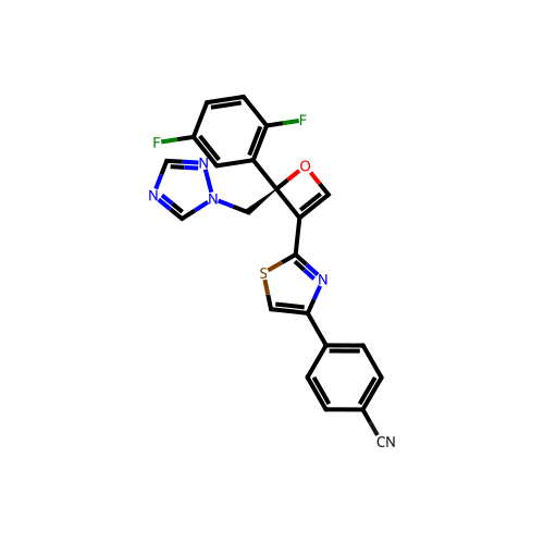 N#Cc1ccc(-c2csc(C3=CO[C@@]3(Cn3cncn3)c3cc(F)ccc3F)n2)cc1